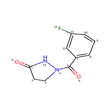 O=C1CCN(C(=O)c2cccc(F)c2)N1